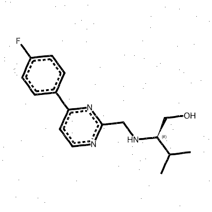 CC(C)[C@H](CO)NCc1nccc(-c2ccc(F)cc2)n1